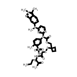 CC(=O)[C@@H](CCN)NC(=O)CSSC1(COC(=O)N(c2ccc(C)c(S(N)(=O)=O)c2)c2nccc(N(C)c3ccc4c(C)n(C)nc4c3)n2)CCC1